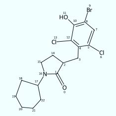 O=C1C(Cc2c(Cl)cc(Br)c(O)c2Cl)CCN1C1CCCCC1